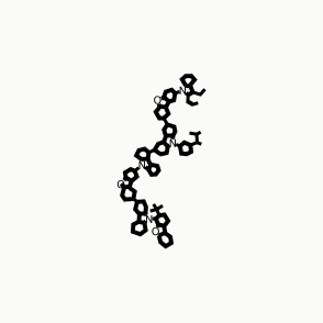 C/C=C\c1c(CC)c2ccccc2n1-c1ccc2oc3ccc(-c4ccc5c(c4)c4cc(-c6cccc7c6c6ccccc6n7-c6ccc7oc8ccc(-c9ccc%10c(c9)c9ccccc9n%10-c9c(C(C)(C)C)ccc%10c9oc9ccccc9%10)cc8c7c6)ccc4n5-c4cccc(C(C)C(C)C)c4)cc3c2c1